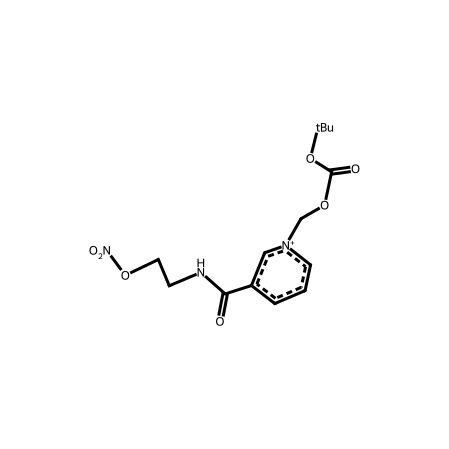 CC(C)(C)OC(=O)OC[n+]1cccc(C(=O)NCCO[N+](=O)[O-])c1